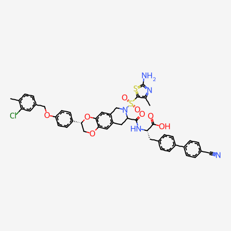 Cc1ccc(COc2ccc([C@H]3COc4cc5c(cc4O3)CN(S(=O)(=O)c3sc(N)nc3C)C(C(=O)N[C@@H](Cc3ccc(-c4ccc(C#N)cc4)cc3)C(=O)O)C5)cc2)cc1Cl